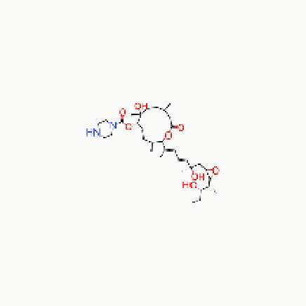 CC[C@H](O)[C@@H](C)[C@H]1O[C@@H]1C[C@@](C)(O)/C=C/C=C(\C)C1OC(=O)C[C@H](C)CC[C@@](C)(O)[C@@H](OC(=O)N2CCNCC2)/C=C/[C@@H]1C